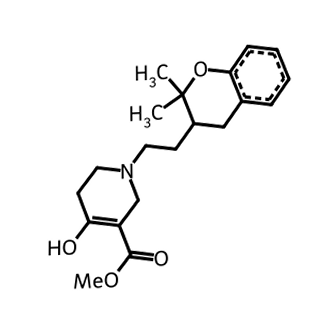 COC(=O)C1=C(O)CCN(CCC2Cc3ccccc3OC2(C)C)C1